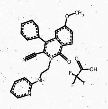 COc1ccc2c(=O)n(CCNc3ccccn3)c(C#N)c(-c3ccccc3)c2c1.O=C(O)C(F)(F)F